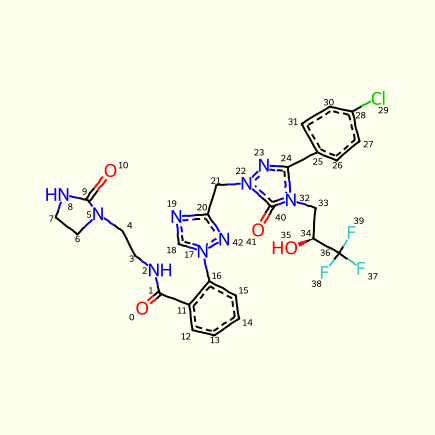 O=C(NCCN1CCNC1=O)c1ccccc1-n1cnc(Cn2nc(-c3ccc(Cl)cc3)n(C[C@H](O)C(F)(F)F)c2=O)n1